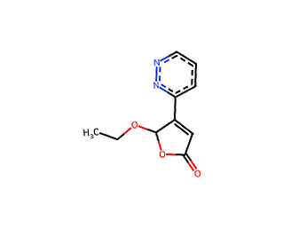 CCOC1OC(=O)C=C1c1cccnn1